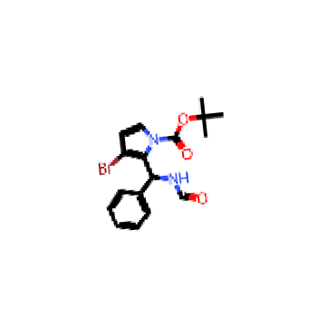 CC(C)(C)OC(=O)n1ccc(Br)c1C(NC=O)c1ccccc1